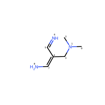 CN(C)C/C(C=N)=C/N